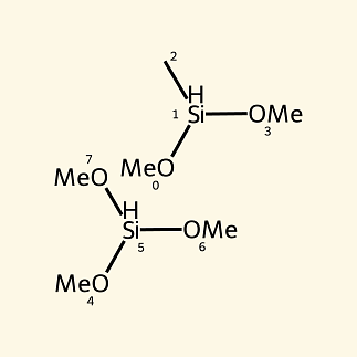 CO[SiH](C)OC.CO[SiH](OC)OC